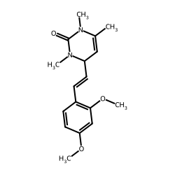 COc1ccc(C=CC2C=C(C)N(C)C(=O)N2C)c(OC)c1